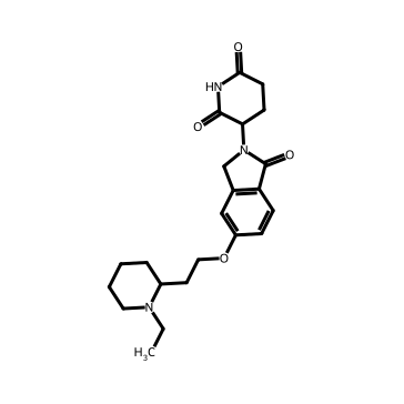 CCN1CCCCC1CCOc1ccc2c(c1)CN(C1CCC(=O)NC1=O)C2=O